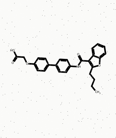 CCCCc1oc2ccccc2c1C(=O)Nc1ccc(-c2ccc(OCC(=O)O)cc2)cc1